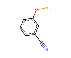 N#Cc1cccc(OP)c1